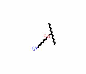 CCCCCCC(CCCCCC)COC(=O)CCCCCCCN